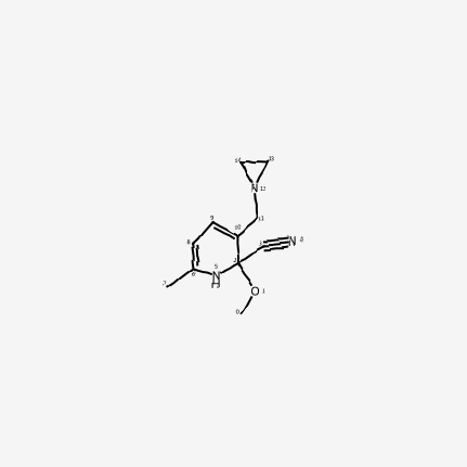 COC1(C#N)NC(C)=CC=C1CN1CC1